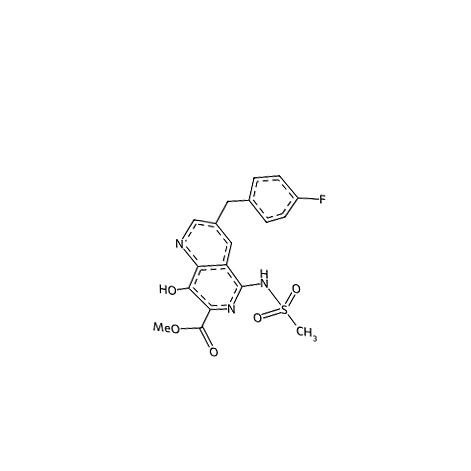 COC(=O)c1nc(NS(C)(=O)=O)c2cc(Cc3ccc(F)cc3)cnc2c1O